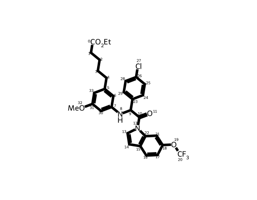 CCOC(=O)CCCCc1cc(NC(C(=O)n2ccc3ccc(OC(F)(F)F)cc32)c2ccc(Cl)cc2)cc(OC)c1